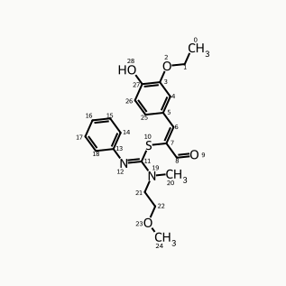 CCOc1cc(/C=C(/C=O)S/C(=N\c2ccccc2)N(C)CCOC)ccc1O